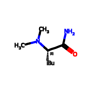 CCC(C)[C@@H](C(N)=O)N(C)C